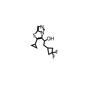 OC(CC1CC(F)(F)C1)c1c(C2CC2)sc2cncn12